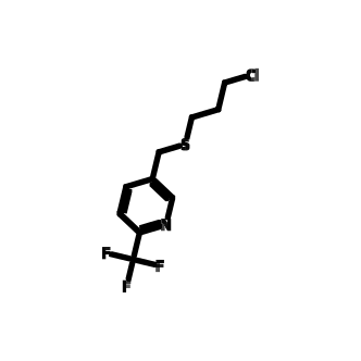 FC(F)(F)c1ccc(CSCCCCl)cn1